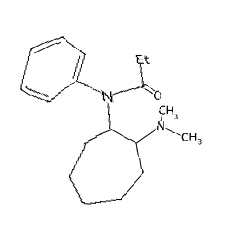 CCC(=O)N(c1ccccc1)C1CCCCCC1N(C)C